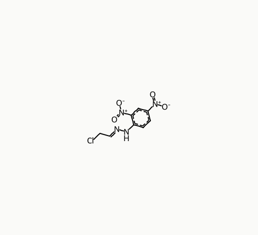 O=[N+]([O-])c1ccc(NN=CCCl)c([N+](=O)[O-])c1